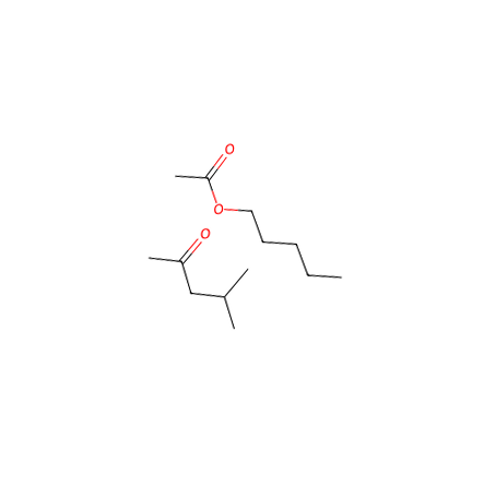 CC(=O)CC(C)C.CCCCCOC(C)=O